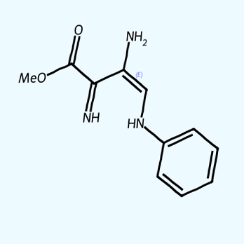 COC(=O)C(=N)/C(N)=C\Nc1ccccc1